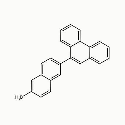 Bc1ccc2cc(-c3cc4ccccc4c4ccccc34)ccc2c1